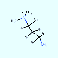 [2H]C([2H])(N)C([2H])([2H])C([2H])([2H])N(C)C